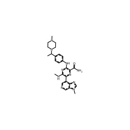 CNc1nc(Nc2ccc(C(C)N3CCN(C)CC3)cc2)c(C(N)=O)nc1-c1cncc2c1ncn2C